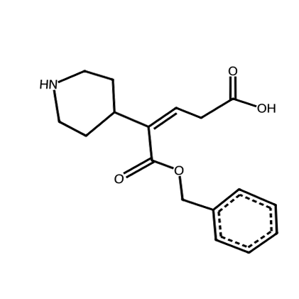 O=C(O)CC=C(C(=O)OCc1ccccc1)C1CCNCC1